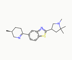 C[C@H]1CCC(c2ccc3sc(C4CN(C)C(C)(C)C4)nc3c2)=NC1